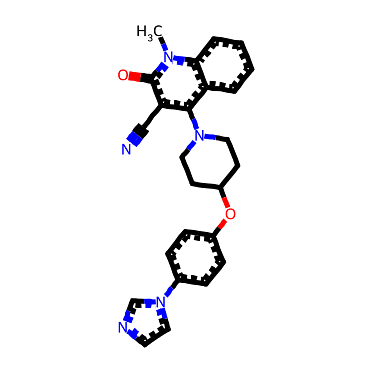 Cn1c(=O)c(C#N)c(N2CCC(Oc3ccc(-n4ccnc4)cc3)CC2)c2ccccc21